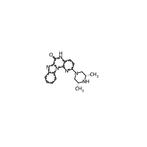 C[C@@H]1CN(c2ccc3[nH]c(=O)c4nc5ccccc5n4c3n2)C[C@H](C)N1